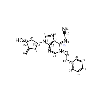 C=C1C[C@@H](n2cnc3/c(=N\C#N)n(OCc4ccccc4)cnc32)C[C@@H]1O